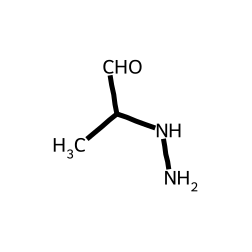 CC(C=O)NN